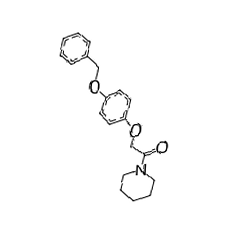 O=C(COc1ccc(OCc2ccccc2)cc1)N1CCCCC1